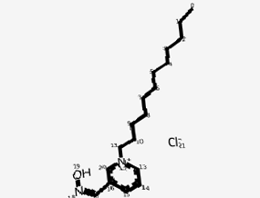 CCCCCCCCCCCC[n+]1cccc(/C=N\O)c1.[Cl-]